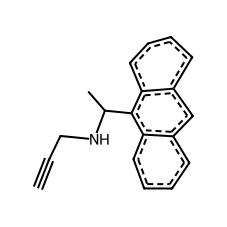 C#CCNC(C)c1c2ccccc2cc2ccccc12